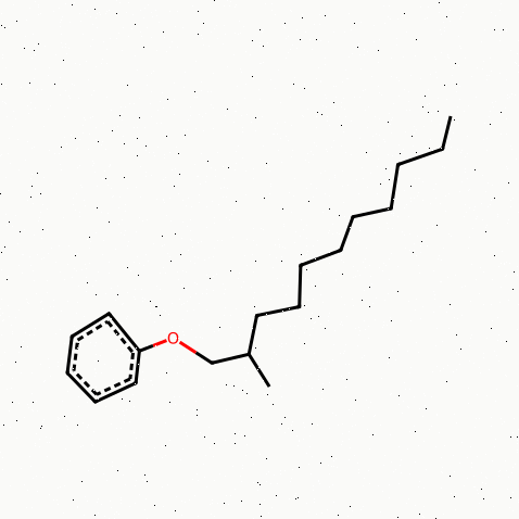 CCCCCCCCCC(C)COc1ccccc1